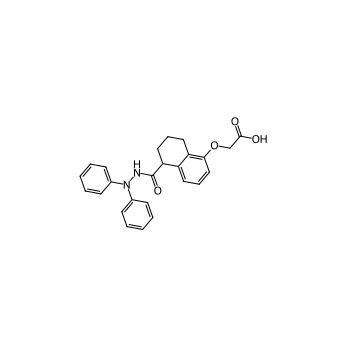 O=C(O)COc1cccc2c1CCCC2C(=O)NN(c1ccccc1)c1ccccc1